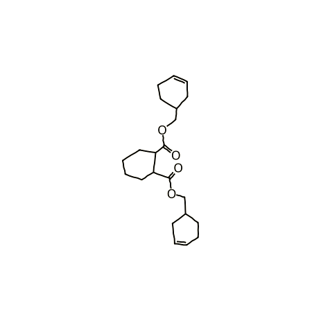 O=C(OCC1CC=CCC1)C1CCCCC1C(=O)OCC1CC=CCC1